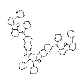 c1ccc(-c2cccc3c2oc2c(N(c4ccccc4)c4ccc5cc6c(cc5c4)oc4c(-c5ccccc5)c(-c5ccccc5)c5oc7cc8cc(N(c9ccccc9)c9cccc%10c9oc9c(-c%11ccccc%11)cccc9%10)ccc8cc7c5c46)cccc23)cc1